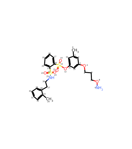 Cc1cc(OCCCON)cc(OS(=O)(=O)c2ccccc2S(=O)(=O)NCCc2ccccc2C)c1